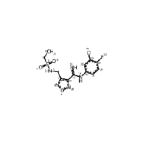 CCS(=O)(=O)NCc1nonc1C(=N)Nc1ccc(F)c(Cl)c1